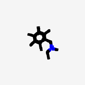 CCN(C)Cc1c(C)c(C)c(C)c(C)c1C